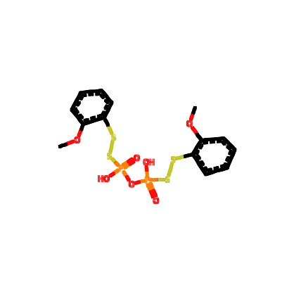 COc1ccccc1SSP(=O)(O)OP(=O)(O)SSc1ccccc1OC